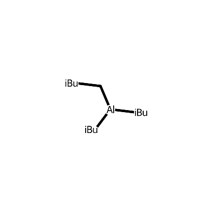 CCC(C)[CH2][Al]([CH](C)CC)[CH](C)CC